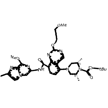 COCCOc1ncc2c(N3C[C@@H](C)N(C(=O)OC(C)(C)C)[C@@H](C)C3)ccc(C(=O)Nc3cn4cc(C)nc4c(OC)n3)c2n1